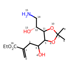 C=C(CC(O)C1OC(C)(C)OC1[C@H](O)CN)C(=O)OCC